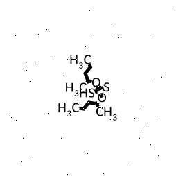 CCCC(C)OP(=S)(S)OC(C)CCC